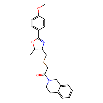 COc1ccc(C2=NC(CSCC(=O)N3CCc4ccccc4C3)C(C)O2)cc1